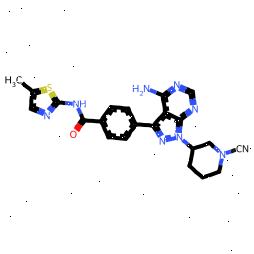 Cc1cnc(NC(=O)c2ccc(-c3nn(C4CCCN(C#N)C4)c4ncnc(N)c34)cc2)s1